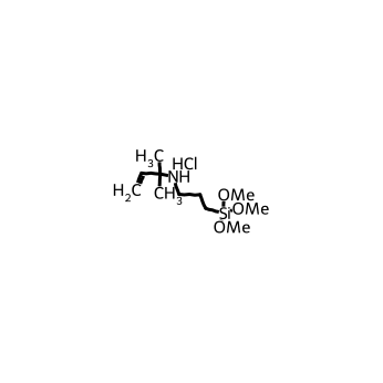 C=CC(C)(C)NCCC[Si](OC)(OC)OC.Cl